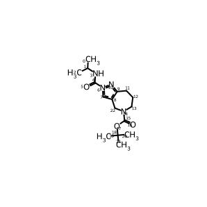 CC(C)NC(=O)n1cc2c(n1)CCCN(C(=O)OC(C)(C)C)C2